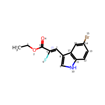 CCOC(=O)/C(F)=C/c1c[nH]c2ccc(Br)cc12